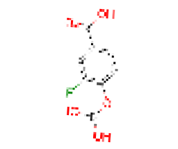 O=C(O)c1ccc(OB(O)O)c(F)c1